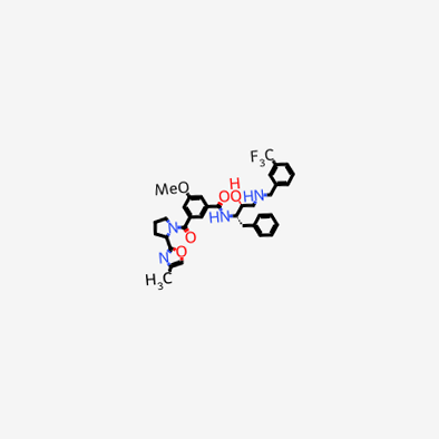 COc1cc(C(=O)N[C@@H](Cc2ccccc2)[C@H](O)CNCc2cccc(C(F)(F)F)c2)cc(C(=O)N2CCCC2c2nc(C)co2)c1